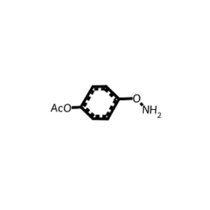 CC(=O)Oc1ccc(ON)cc1